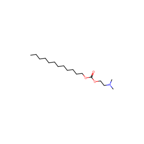 CCCCCCCCCCCCOC(=O)OCCN(C)C